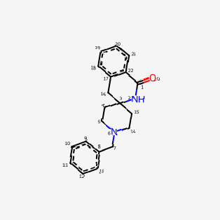 O=C1NC2(CCN(Cc3ccccc3)CC2)Cc2ccccc21